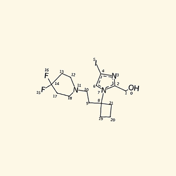 OCc1nc(I)cn1C1(CCN2CCC(F)(F)CC2)CCC1